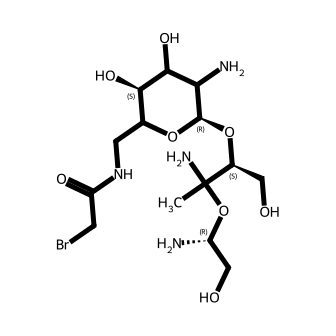 CC(N)(O[C@@H](N)CO)[C@H](CO)O[C@H]1OC(CNC(=O)CBr)[C@@H](O)C(O)C1N